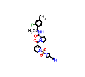 Cc1ccc([C@@H](C)NC(=O)[C@H]2CCCN2C(=O)[C@H]2CCCN(S(=O)(=O)N3CC(C#N)C3)C2)c(F)c1